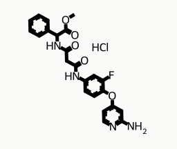 COC(=O)C(NC(=O)CC(=O)Nc1ccc(Oc2ccnc(N)c2)c(F)c1)c1ccccc1.Cl